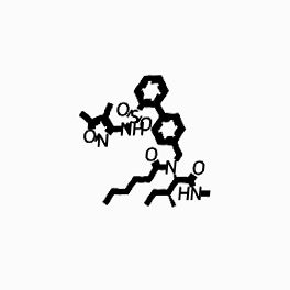 CCCCCC(=O)N(Cc1ccc(-c2ccccc2S(=O)(=O)Nc2noc(C)c2C)cc1)[C@H](C(=O)NC)[C@@H](C)CC